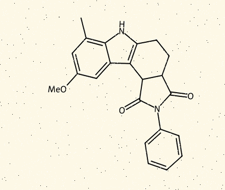 COc1cc(C)c2[nH]c3c(c2c1)C1C(=O)N(c2ccccc2)C(=O)C1CC3